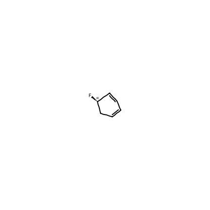 F[C@H]1C=CC=CC1